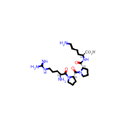 N=C(N)NCCC[C@H](N)C(=O)N1CCC[C@H]1C(=O)N1CCC[C@H]1C(=O)N[C@@H](CCCCN)C(=O)O